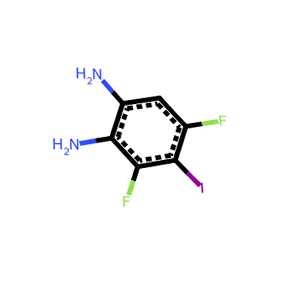 Nc1cc(F)c(I)c(F)c1N